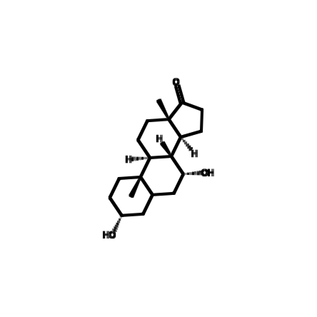 C[C@]12CC[C@@H](O)CC1C[C@@H](O)[C@@H]1[C@@H]2CC[C@]2(C)C(=O)CC[C@@H]12